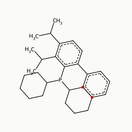 CC(C)c1ccc(-c2ccccc2)c(P(C2CCCCC2)C2CCCCC2)c1C(C)C